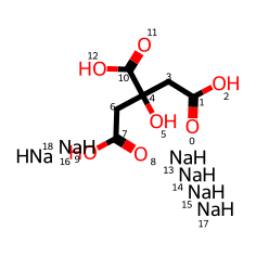 O=C(O)CC(O)(CC(=O)O)C(=O)O.[NaH].[NaH].[NaH].[NaH].[NaH].[NaH]